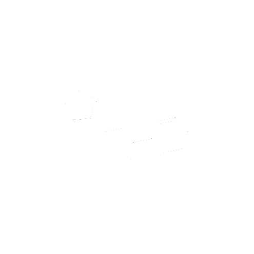 OC(CC[C@@H]1CCCN1)c1ccccc1